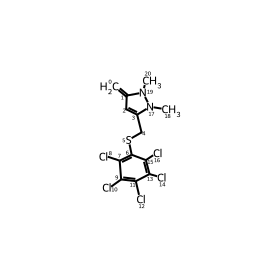 C=C1C=C(CSc2c(Cl)c(Cl)c(Cl)c(Cl)c2Cl)N(C)N1C